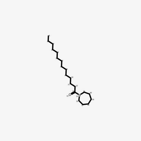 CCCCCCCCCCCCCC(=O)N1CCCCCC1